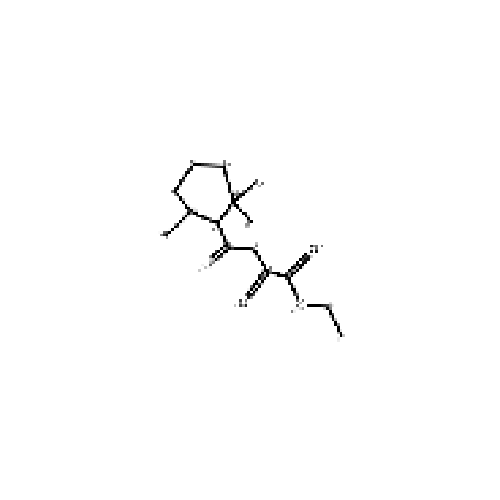 CCOC(=O)C(=O)CC(=O)C1C(C)CCCC1(C)C